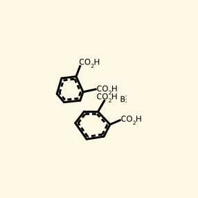 O=C(O)c1ccccc1C(=O)O.O=C(O)c1ccccc1C(=O)O.[B]